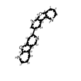 c1cnc2c(c1)oc1ncc(-c3cc4oc5ncccc5c4cn3)cc12